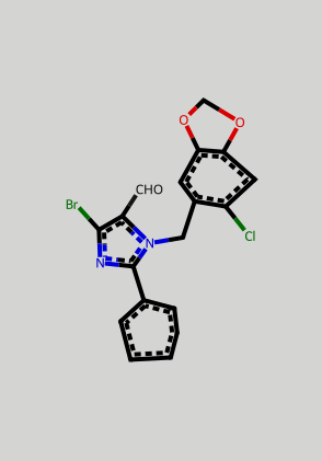 O=Cc1c(Br)nc(-c2ccccc2)n1Cc1cc2c(cc1Cl)OCO2